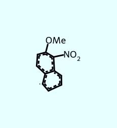 COc1ccc2[c]cccc2c1[N+](=O)[O-]